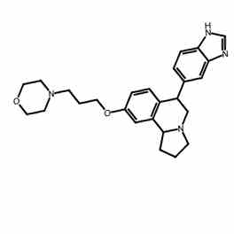 c1nc2cc(C3CN4CCCC4c4cc(OCCCN5CCOCC5)ccc43)ccc2[nH]1